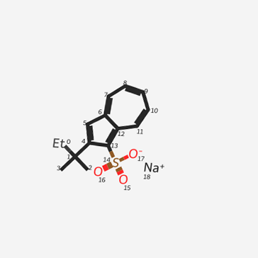 CCC(C)(C)c1cc2cccccc-2c1S(=O)(=O)[O-].[Na+]